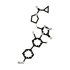 COc1ccc(-c2cc(F)c(-n3c(C[C@@H]4CCN(C(=O)C5CC5)C4)n[nH]c3=O)c(F)c2)cc1